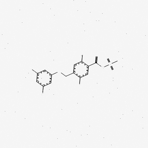 CS(=O)(=O)NC(=O)c1cc(F)c(COc2cc(F)cc(F)c2)cc1F